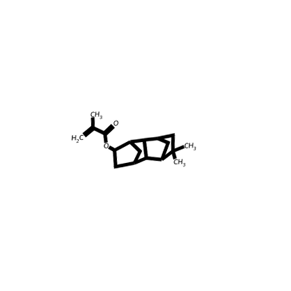 C=C(C)C(=O)OC1CC2CC1C1C3CC(C21)C(C)(C)C3